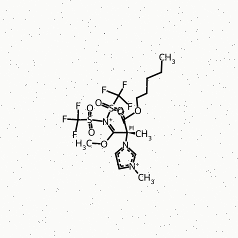 CCCCCOC(=O)[C@@](C)(C(OC)=[N+](S(=O)(=O)C(F)(F)F)S(=O)(=O)C(F)(F)F)n1cc[n+](C)c1